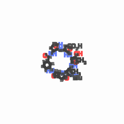 CC(C)C[C@@H]1NC(=O)c2cccc(c2)NC(=O)[C@@H]2CCCN2[C@H](C(=O)NC(C)(C)C)[C@H](C)NC(=O)[C@H]([C@@H](C)O)NC(=O)[C@H](CC(=O)O)NC1=O